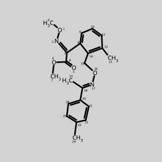 CO/N=C(/C(=O)OC)c1cccc(C)c1CO/N=C(\C)c1ccc(C)cc1